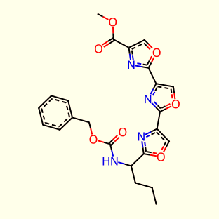 CCCC(NC(=O)OCc1ccccc1)c1nc(-c2nc(-c3nc(C(=O)OC)co3)co2)co1